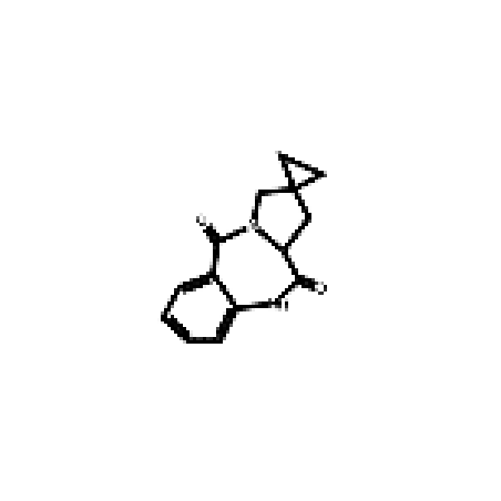 O=C1Nc2ccccc2C(=O)N2CC3(CC3)CC12